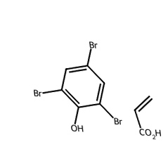 C=CC(=O)O.Oc1c(Br)cc(Br)cc1Br